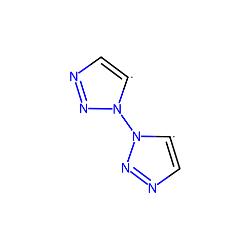 [c]1cnnn1-n1[c]cnn1